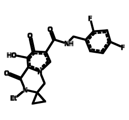 CCN1C(=O)c2c(O)c(=O)c(C(=O)NCc3ccc(F)cc3F)cn2CC12CC2